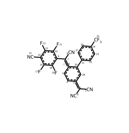 N#CC(C#N)=c1cc/c(=C(/C#N)c2c(F)c(F)c(C#N)c(F)c2F)c(-c2ccc(C(F)(F)F)cc2)c1